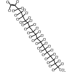 ClC(Cl)=C(Cl)C(Cl)(Cl)C(Cl)(Cl)C(Cl)(Cl)C(Cl)(Cl)C(Cl)(Cl)C(Cl)(Cl)C(Cl)(Cl)C(Cl)(Cl)C(Cl)(Cl)C(Cl)(Cl)C(Cl)(Cl)C(Cl)(Cl)C(Cl)(Cl)C(Cl)(Cl)C(Cl)(Cl)C(Cl)(Cl)C(Cl)(Cl)C(Cl)(Cl)Cl